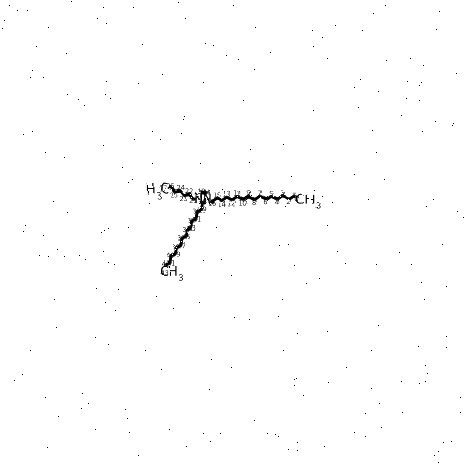 CCCCCCCCCCCCCCCCCN1C=CN(CCCCCCC)C1CCCCCCCCCCCCCCC